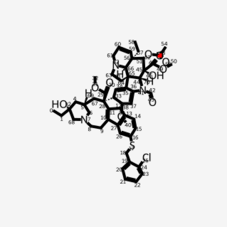 CC[C@]1(O)C[C@H]2CN(CCC3=C(Cc4ccc(SCc5ccccc5Cl)cc43)[C@@](C(=O)OC)(C3C=C4C(=CC3OC)N(C=O)[C@H]3[C@@](O)(C(=O)OC)[C@H](OC(C)=O)[C@]5(CC)C=CCN6CC[C@]43[C@@H]65)C2)C1